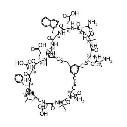 CC(C[C@H]1CN[C@@H](CC(=O)O)C(=O)N[C@@H](C(C)(C)C)C(=O)N[C@H](C(N)=O)CSCc2cc3cc(c2)CSC[C@@H](N[C@@H](C)NC(=O)[C@H](Cc2cccc4ccccc24)NC(=O)[C@H](CCC(=O)O)NC(=O)[C@H](CC(N)=O)NC(=O)[C@@H](C)NC(=O)[C@@H](NC(=O)[C@H](C)N)CSC3)C(=O)N[C@@H](CCC(=O)O)C(=O)N[C@@H](CC(=O)O)C(=O)N[C@@H](Cc2ccccc2)C(=O)N1)[C@H](C)O